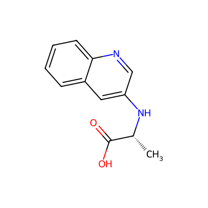 C[C@@H](Nc1cnc2ccccc2c1)C(=O)O